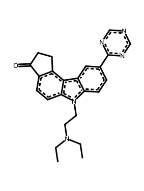 CCN(CC)CCn1c2ccc(-c3ncncn3)cc2c2c3c(ccc21)C(=O)CC3